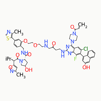 C=CC(=O)N1CCN(c2nc(NCCC(=O)CNCCOCCOc3cc(-c4scnc4C)ccc3CNC(=O)[C@@H]3C[C@@H](O)CN3C(=O)[C@@H](c3cc(C)no3)C(C)C)nc3c(F)c(-c4cc(O)cc5ccccc45)c(Cl)cc23)CC1